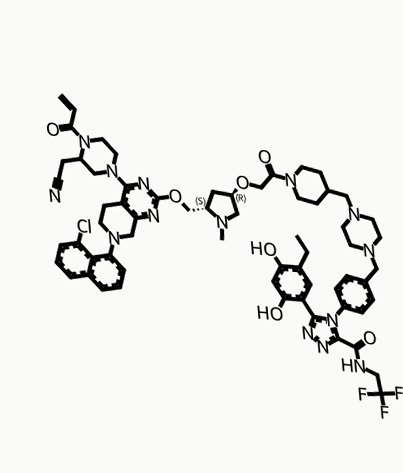 C=CC(=O)N1CCN(c2nc(OC[C@@H]3C[C@@H](OCC(=O)N4CCC(CN5CCN(Cc6ccc(-n7c(C(=O)NCC(F)(F)F)nnc7-c7cc(CC)c(O)cc7O)cc6)CC5)CC4)CN3C)nc3c2CCN(c2cccc4cccc(Cl)c24)C3)CC1CC#N